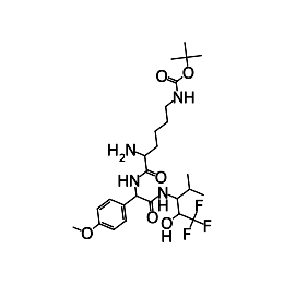 COc1ccc(C(NC(=O)C(N)CCCCNC(=O)OC(C)(C)C)C(=O)NC(C(C)C)C(O)C(F)(F)F)cc1